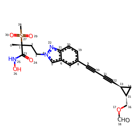 C[C@@](CCn1cc2cc(C#CC#C[C@H]3C[C@@H]3COC=O)ccc2n1)(C(=O)NO)S(C)(=O)=O